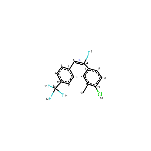 Cc1cc(/C(F)=C\c2ccc(C(F)(F)F)cc2)ccc1Cl